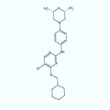 C[C@@H]1CN(c2ccc(Nc3ncc(Cl)c(OCC4CCCCC4)n3)cc2)C[C@H](C)O1